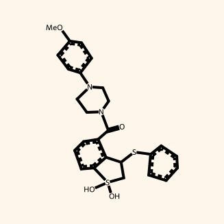 COc1ccc(N2CCN(C(=O)c3cccc4c3C(Sc3ccccc3)CS4(O)O)CC2)cc1